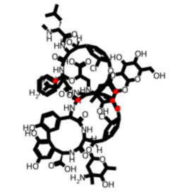 CN[C@H](CC(C)C)C(=O)NC1C(=O)N[C@@H](CC(N)=O)C(=O)N[C@H]2C(=O)NC3C(=O)N[C@H](C(=O)N[C@@H](C(=O)O)c4cc(O)cc(O)c4-c4cc3ccc4O)[C@H](OC3CC(C)(N)C(O)C(C)O3)c3ccc(c(Cl)c3)Oc3cc2cc(c3OC2OC(CO)C(O)C(O)C2OC2CC(C)(NCC(OCc3ccccc3)C(=O)O)C(O)C(C)O2)Oc2ccc(cc2Cl)[C@H]1O